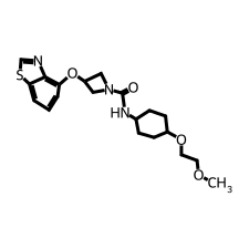 COCCOC1CCC(NC(=O)N2CC(Oc3cccc4scnc34)C2)CC1